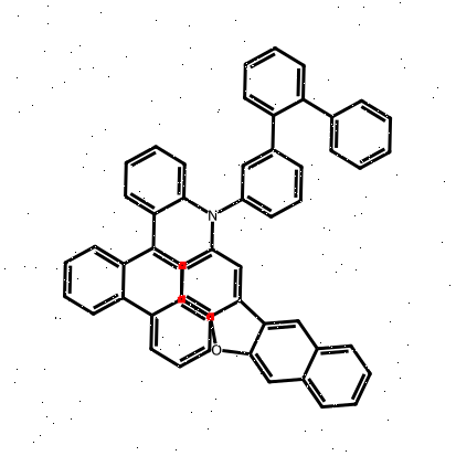 c1ccc(-c2ccccc2-c2cccc(N(c3ccc4oc5cc6ccccc6cc5c4c3)c3ccccc3-c3cc4ccccc4c4ccccc34)c2)cc1